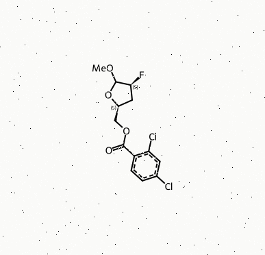 COC1O[C@H](COC(=O)c2ccc(Cl)cc2Cl)C[C@@H]1F